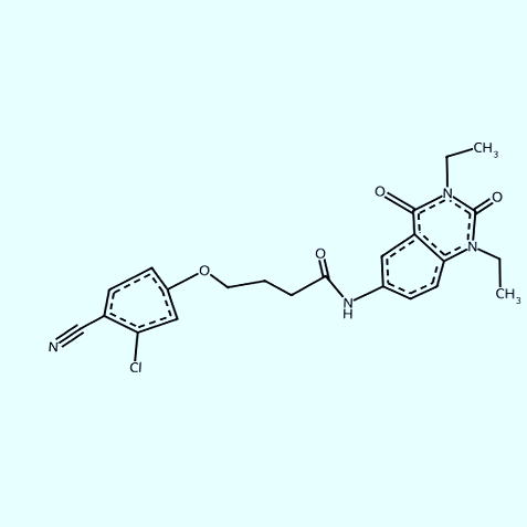 CCn1c(=O)c2cc(NC(=O)CCCOc3ccc(C#N)c(Cl)c3)ccc2n(CC)c1=O